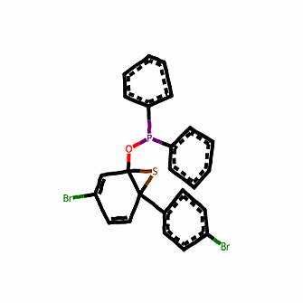 BrC1=CC2(OP(c3ccccc3)c3ccccc3)SC2(c2ccc(Br)cc2)C=C1